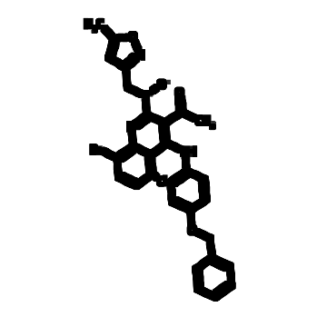 CC(=O)c1c([S+]([O-])Cc2cc(C)on2)nc2c(Br)ccc(Cl)c2c1Nc1ccc(OCc2ccccc2)cc1